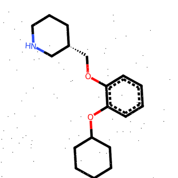 c1ccc(OC2CCCCC2)c(OC[C@H]2CCCNC2)c1